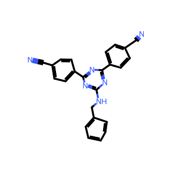 N#Cc1ccc(-c2nc(NCc3ccccc3)nc(-c3ccc(C#N)cc3)n2)cc1